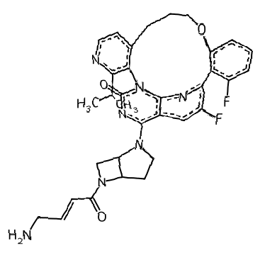 CC(C)c1nccc2c1-n1c(=O)nc(N3CCC4C3CN4C(=O)/C=C/CN)c3cc(F)c(nc31)-c1c(F)cccc1OCCC2